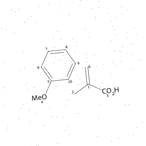 C=C(C)C(=O)O.COc1ccccc1